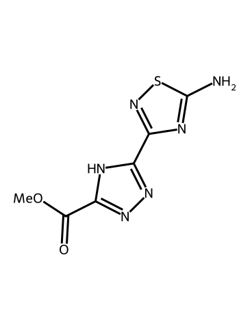 COC(=O)c1nnc(-c2nsc(N)n2)[nH]1